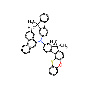 CC1(C)c2ccccc2-c2ccc(N(c3ccc4c(c3)C(C)(C)c3ccc5c(c3-4)Sc3ccccc3O5)c3cc4ccccc4c4ccccc34)cc21